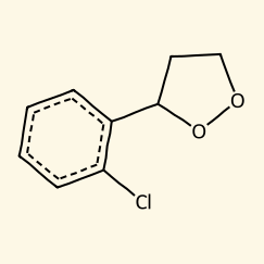 Clc1ccccc1C1CCOO1